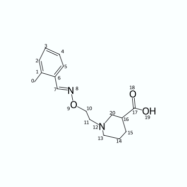 Cc1ccccc1C=NOCCN1CCCC(C(=O)O)C1